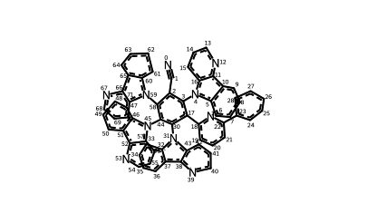 N#Cc1c(-n2c3ccccc3c3ncccc32)c(-c2cccc(-c3ccccc3)n2)c(-n2c3ccccc3c3ncccc32)c(-n2c3ccccc3c3ncccc32)c1-n1c2ccccc2c2ncccc21